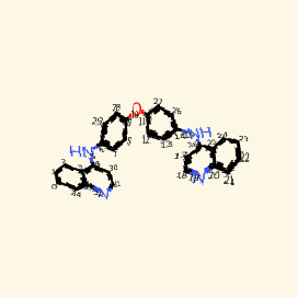 c1ccc2c(Nc3ccc(Oc4ccc(Nc5ccnc6ccccc56)cc4)cc3)ccnc2c1